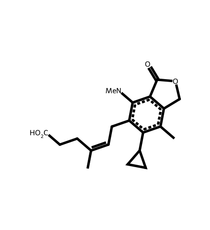 CNc1c(CC=C(C)CCC(=O)O)c(C2CC2)c(C)c2c1C(=O)OC2